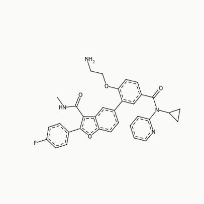 CNC(=O)c1c(-c2ccc(F)cc2)oc2ccc(-c3cc(C(=O)N(c4ccccn4)C4CC4)ccc3OCCN)cc12